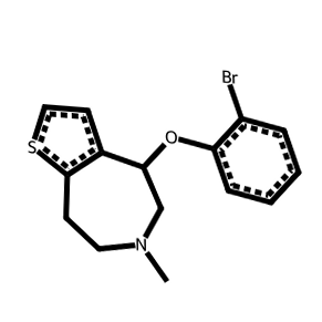 CN1CCc2sccc2C(Oc2ccccc2Br)C1